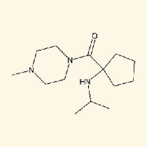 CC(C)NC1(C(=O)N2CCN(C)CC2)CCCC1